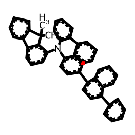 CC1(C)c2ccccc2-c2cccc(N(c3ccc(-c4ccc(-c5ccccc5)c5ccccc45)cc3)c3ccccc3-c3ccccc3)c21